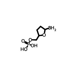 BC1CCC(COP(=O)(O)O)O1